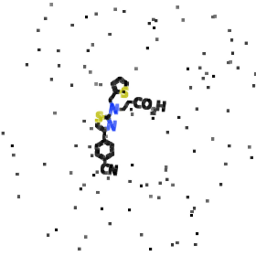 N#Cc1ccc(-c2csc(N(CCC(=O)O)Cc3cccs3)n2)cc1